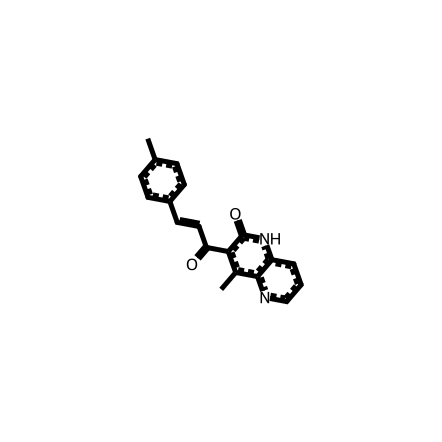 Cc1ccc(C=CC(=O)c2c(C)c3ncccc3[nH]c2=O)cc1